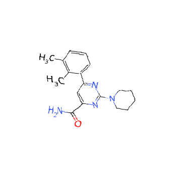 Cc1cccc(-c2cc(C(N)=O)nc(N3CCCCC3)n2)c1C